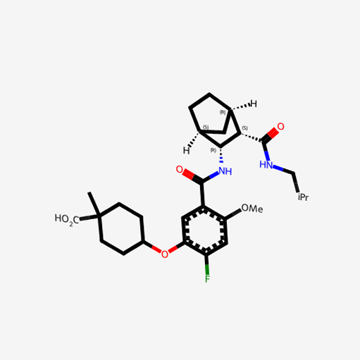 COc1cc(F)c(OC2CCC(C)(C(=O)O)CC2)cc1C(=O)N[C@@H]1[C@H]2CC[C@H](C2)[C@@H]1C(=O)NCC(C)C